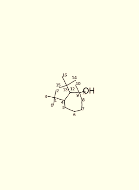 CC(C)(C)C1CCCCC(C)(O)C1C(C)(C)C